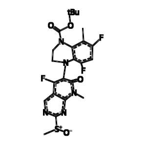 Cc1c(F)cc(F)c2c1N(C(=O)OC(C)(C)C)CCN2c1c(F)c2cnc([S+](C)[O-])nc2n(C)c1=O